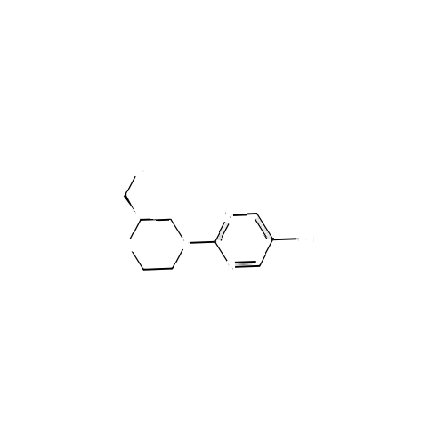 OC[C@H]1CN(c2ncc(O)cn2)CCO1